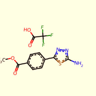 COC(=O)c1ccc(-c2nnc(N)s2)cc1.O=C(O)C(F)(F)F